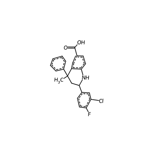 CC1(c2ccccc2)CC(c2ccc(F)c(Cl)c2)Nc2ccc(C(=O)O)cc21